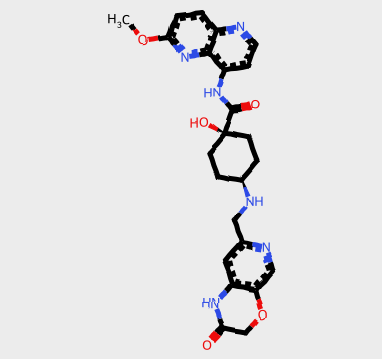 COc1ccc2nccc(NC(=O)[C@]3(O)CC[C@@H](NCc4cc5c(cn4)OCC(=O)N5)CC3)c2n1